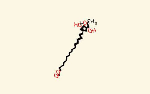 C[C@H]1C[C@@]2(O)C[C@]3(CCCCCCCCCCCCCCCCCOC=O)C[C@]3(O)[C@H]2O1